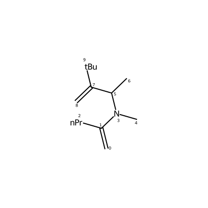 C=C(CCC)N(C)C(C)C(=C)C(C)(C)C